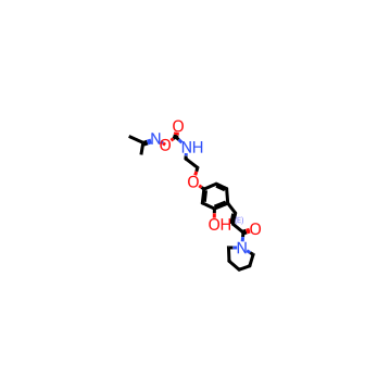 CC(C)=NOC(=O)NCCOc1ccc(/C=C/C(=O)N2CCCCC2)c(O)c1